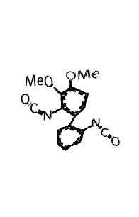 COc1ccc(-c2ccccc2N=C=O)c(N=C=O)c1OC